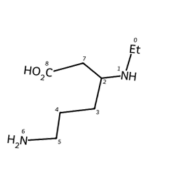 CCNC(CCCN)CC(=O)O